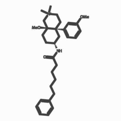 COc1cccc([C@@]23CC[N+](C)(C)C[C@@]2(OC)CC[C@@H](NC(=O)CCCCCc2ccccc2)C3)c1